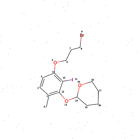 Cc1ccc(OCCCBr)c(I)c1OC1CCCCO1